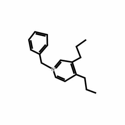 CCCc1cc[n+](Cc2ccccc2)cc1CCC